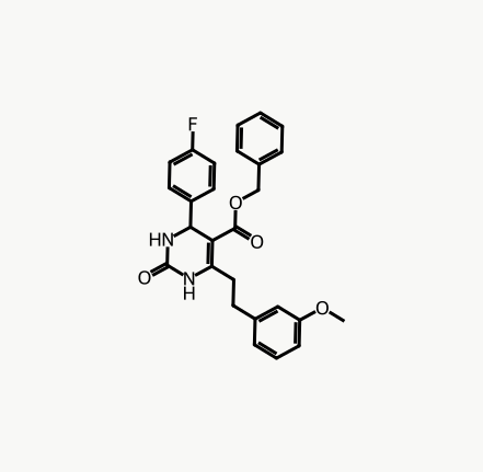 COc1cccc(CCC2=C(C(=O)OCc3ccccc3)C(c3ccc(F)cc3)NC(=O)N2)c1